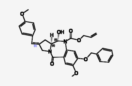 C=CCOC(=O)N1c2cc(OCc3ccccc3)c(OC)cc2C(=O)N2C/C(=C/c3ccc(OC)cc3)C[C@H]2[C@@H]1O